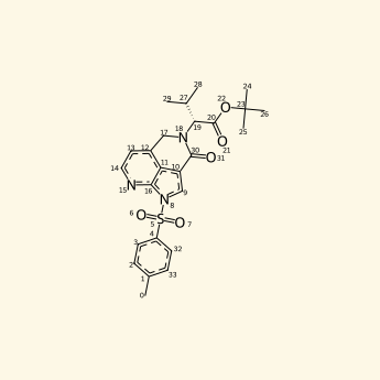 Cc1ccc(S(=O)(=O)n2cc3c4c(ccnc42)CN([C@@H](C(=O)OC(C)(C)C)C(C)C)C3=O)cc1